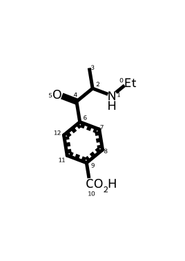 CCNC(C)C(=O)c1ccc(C(=O)O)cc1